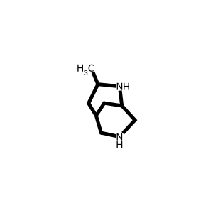 CC1CC2CNCC(C2)N1